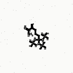 C=C(CCC[Si](O[Si](C)(C)C)(O[Si](C)(C)C)O[Si](C)(C)C)C(N)=O